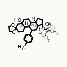 Cc1ccc(C2C[C@@]3(C)[C@@H](CC[C@@]3(C#N)O[Si](C)(C)C)[C@@H]3CC[C@@]4(O)CC5(CCC4=C23)OCCO5)cc1